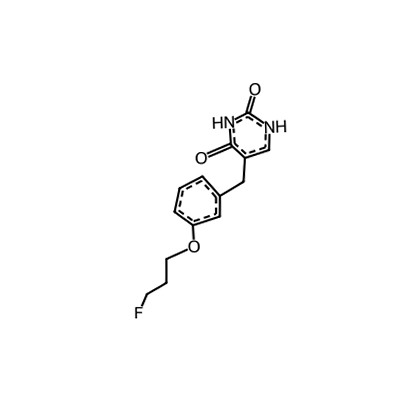 O=c1[nH]cc(Cc2cccc(OCCCF)c2)c(=O)[nH]1